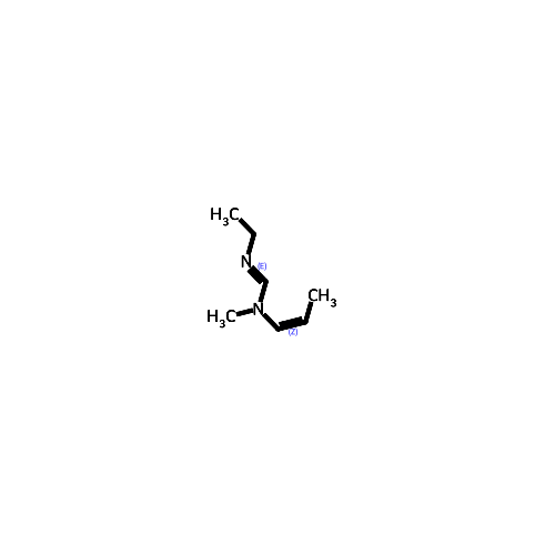 C/C=C\N(C)/C=N/CC